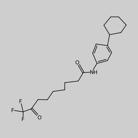 O=C(CCCCCCC(=O)C(F)(F)F)Nc1ccc(C2CCCCC2)cc1